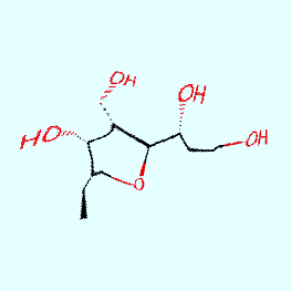 C[C@@H]1O[C@H]([C@H](O)CO)[C@@H](O)[C@H]1O